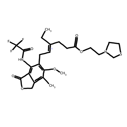 CC/C(=C\Cc1c(NC(=O)C(F)(F)F)c2c(c(C)c1OC)COC2=O)CCC(=O)OCCN1CCSC1